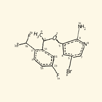 CC(Oc1cc(Br)cnc1N)c1cc(F)ccc1C(F)F